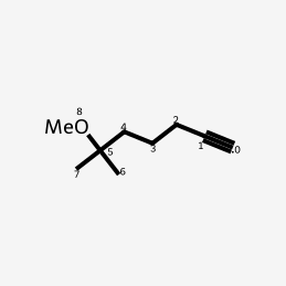 [C]#CCCCC(C)(C)OC